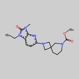 Cn1c(=O)n(CC(C)(C)C)c2ccc(N3CC4(CCCN(C(=O)OC(C)(C)C)C4)C3)nc21